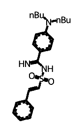 CCCCN(CCCC)c1ccc(C(=N)NS(=O)(=O)C=Cc2ccccc2)cc1